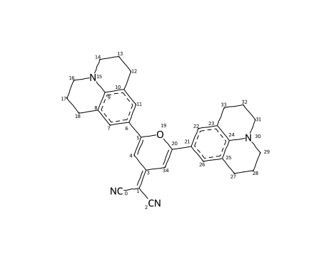 N#CC(C#N)=C1C=C(c2cc3c4c(c2)CCCN4CCC3)OC(c2cc3c4c(c2)CCCN4CCC3)=C1